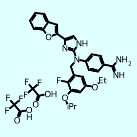 CCOc1cc(CN(c2ccc(C(=N)N)cc2)c2nc(-c3cc4ccccc4o3)c[nH]2)c(F)c(OC(C)C)c1.O=C(O)C(F)(F)F.O=C(O)C(F)(F)F